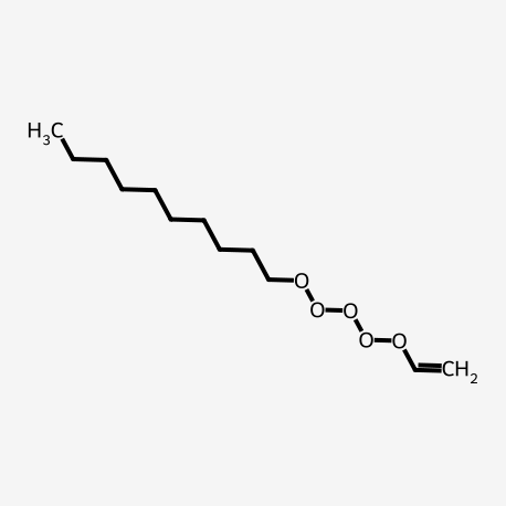 C=COOOOOCCCCCCCCCC